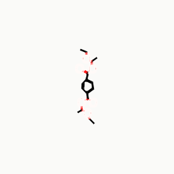 CCOC(C)OC(=O)c1ccc(C(=O)OC(C)OCC)cc1